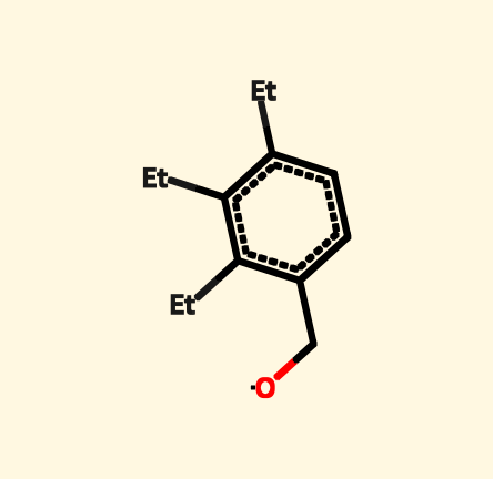 CCc1ccc(C[O])c(CC)c1CC